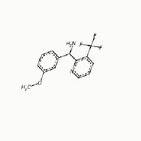 COc1cccc(C(N)c2ncccc2C(F)(F)F)c1